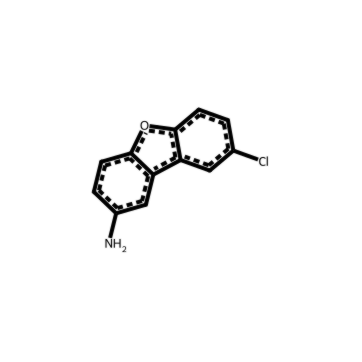 Nc1ccc2oc3ccc(Cl)cc3c2c1